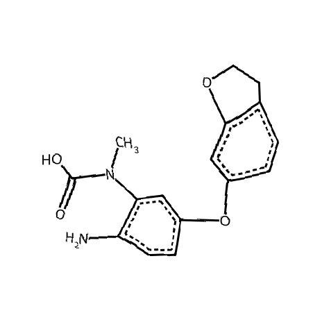 CN(C(=O)O)c1cc(Oc2ccc3c(c2)OCC3)ccc1N